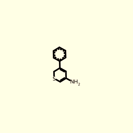 NC1=CSCC(c2ccccc2)=C1